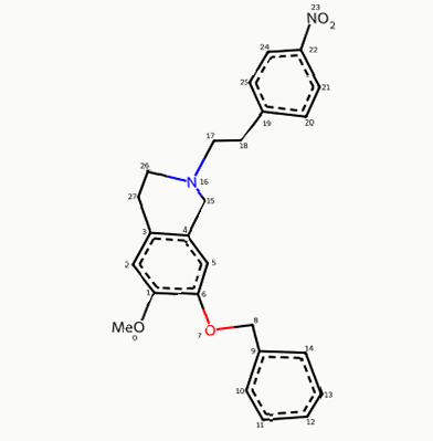 COc1cc2c(cc1OCc1ccccc1)CN(CCc1ccc([N+](=O)[O-])cc1)CC2